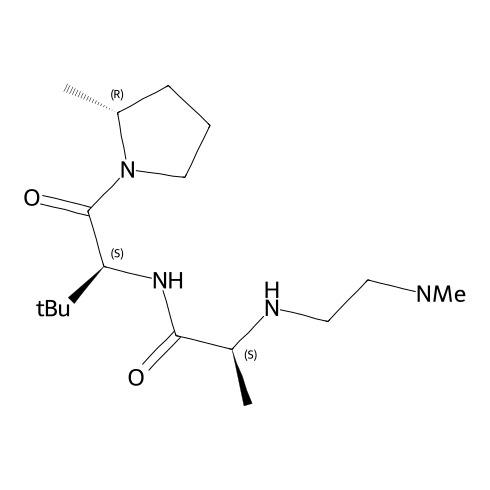 CNCCN[C@@H](C)C(=O)N[C@H](C(=O)N1CCC[C@H]1C)C(C)(C)C